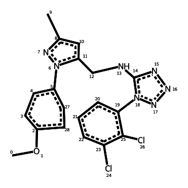 COc1ccc(-n2nc(C)cc2CNc2nnnn2-c2cccc(Cl)c2Cl)cc1